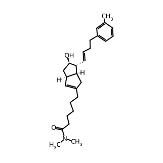 Cc1cccc(CC/C=C/[C@@H]2[C@H]3CC(CCCCCC(=O)N(C)C)=C[C@H]3C[C@H]2O)c1